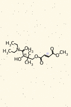 CCN(CC)C(=O)[C@H](O)C(C)(C)COC(=O)/C=C/C(=O)OC